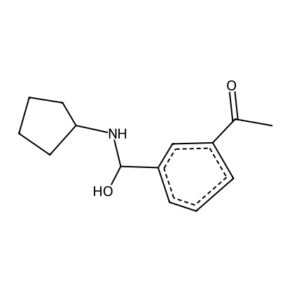 CC(=O)c1cccc(C(O)NC2CCCC2)c1